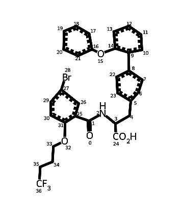 O=C(NC(Cc1ccc(-c2ccccc2Oc2ccccc2)cc1)C(=O)O)c1cc(Br)ccc1OCCCC(F)(F)F